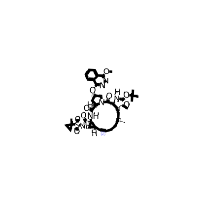 CC[C@@H]1C[C@H](C)CC/C=C\[C@@H]2C[C@@]2(C(=O)NS(=O)(=O)C2(C)CC2)NC(=O)[C@@H]2C[C@@H](Oc3nnc(OC)c4ccccc34)CN2C(=O)[C@H]1NC(=O)OC(C)(C)C